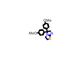 COc1ccc(C2(c3ccc(OC)cc3)CN=C3SCCN32)cc1